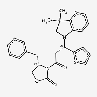 CC1(C)CN([C@@H](CC(=O)N2C(=O)OC[C@@H]2Cc2ccccc2)c2cccs2)c2cccnc21